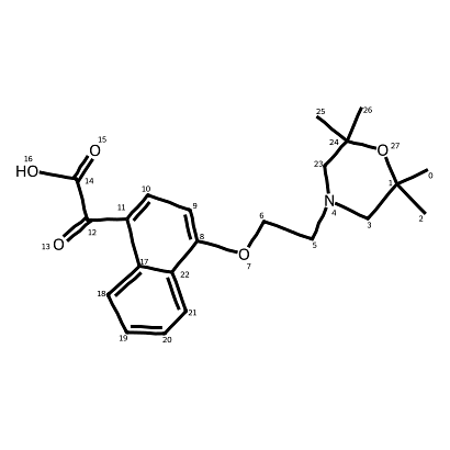 CC1(C)CN(CCOc2ccc(C(=O)C(=O)O)c3ccccc23)CC(C)(C)O1